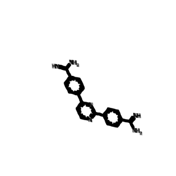 N=C(N)c1ccc(-c2ccnc(-c3ccc(C(=N)N)cc3)n2)cc1